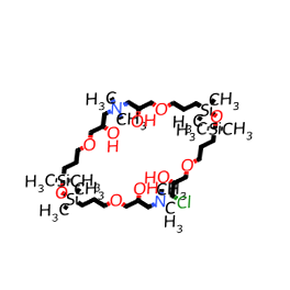 CN(C)CC(O)COCCC[Si](C)(C)O[Si](C)(C)CCCOCC(O)C[N+](C)(C)CC(O)COCCC[Si](C)(C)O[Si](C)(C)CCCOCC(O)CCl